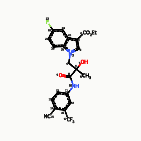 CCOC(=O)c1cn(CC(C)(O)C(=O)Nc2ccc(C#N)c(C(F)(F)F)c2)c2ccc(F)cc12